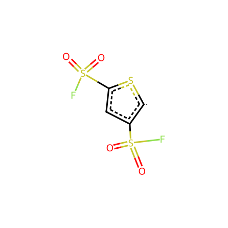 O=S(=O)(F)c1[c]sc(S(=O)(=O)F)c1